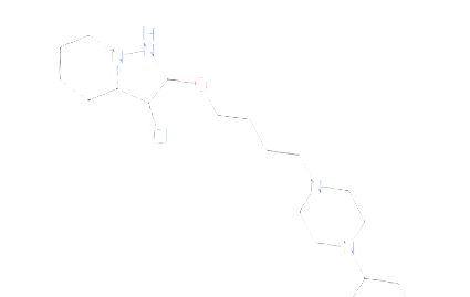 ClC1C(OCCCCN2CCN(C3CCCCC3)CC2)NN2CCCCC12